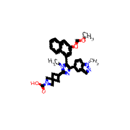 COCOc1cc(-c2c(-c3ccc4c(cnn4C)c3)nc(C3CC4(C3)CN(C(=O)O)C4)n2C)c2ccccc2c1